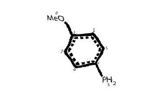 COc1ccc(P)cc1